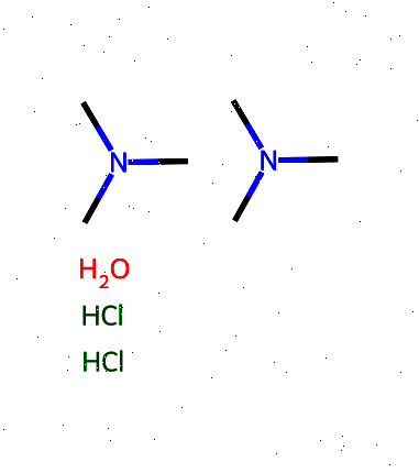 CN(C)C.CN(C)C.Cl.Cl.O